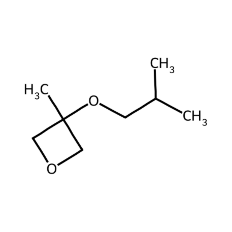 CC(C)COC1(C)COC1